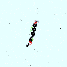 C=CCCOc1ccc(CCc2ccc(-c3ccc(-c4ccc(OCC)cc4)c(F)c3F)cc2)c(F)c1